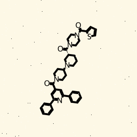 O=C(c1cc(-c2ccccc2)nc(-c2ccccc2)c1)N1CCC(N2CCC[C@@H](C(=O)N3CCN(C(=O)c4cccs4)CC3)C2)CC1